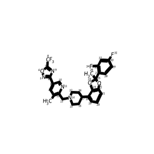 Cc1cc(-c2noc(C(F)(F)F)n2)cnc1CN1CCC(c2cccc3c2OC(C)(c2ccc(F)cc2F)O3)CC1